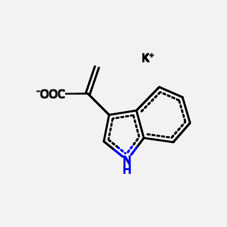 C=C(C(=O)[O-])c1c[nH]c2ccccc12.[K+]